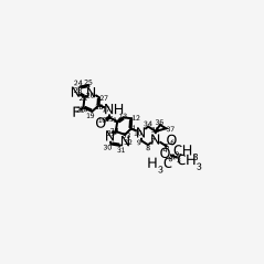 CC(C)(C)OC(=O)N1CCN(c2ccc(C(=O)Nc3cc(F)c4nccn4c3)c3nccnc23)CC12CC2